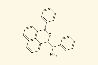 NC(c1ccccc1)C(OB(c1ccccc1)c1ccccc1)c1ccccc1